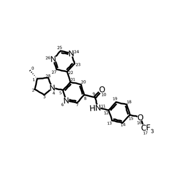 C[C@H]1CCN(c2ncc(C(=O)Nc3ccc(OC(F)(F)F)cc3)cc2-c2cncnc2)C1